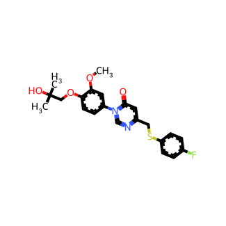 COc1cc(-n2cnc(CSc3ccc(F)cc3)cc2=O)ccc1OCC(C)(C)O